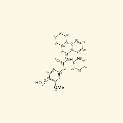 COc1cc(CC(=O)NC(CC2CCCCC2)c2ccccc2N2CCCCC2)ccc1C(=O)O